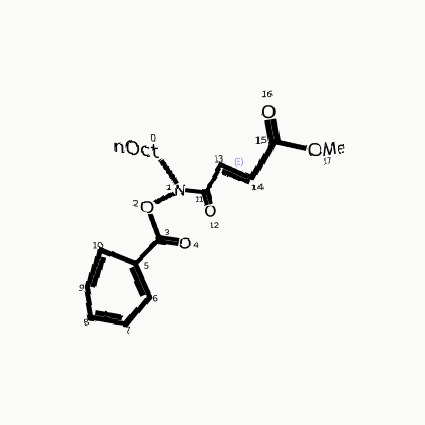 CCCCCCCCN(OC(=O)c1ccccc1)C(=O)/C=C/C(=O)OC